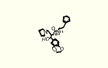 O=C(NCCc1ccccc1)NC(CN1CCCC1)C(O)c1ccc2c(c1)OCCO2